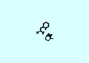 CC12CCC(CC1=O)C2(C)C.O=c1oc2ccccc2cc1C(F)(F)F